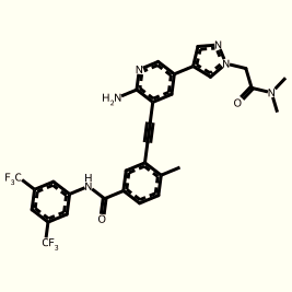 Cc1ccc(C(=O)Nc2cc(C(F)(F)F)cc(C(F)(F)F)c2)cc1C#Cc1cc(-c2cnn(CC(=O)N(C)C)c2)cnc1N